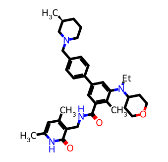 CCN(c1cc(-c2ccc(CN3CCC[C@H](C)C3)cc2)cc(C(=O)NCc2c(C)cc(C)[nH]c2=O)c1C)C1CCOCC1